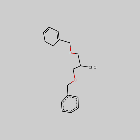 O=CC(COCC1=CC=CCC1)COCc1ccccc1